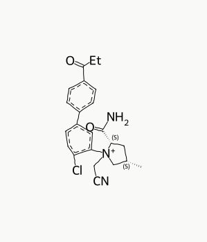 CCC(=O)c1ccc(-c2ccc(Cl)c([N+]3(CC#N)C[C@@H](C)C[C@H]3C(N)=O)c2)cc1